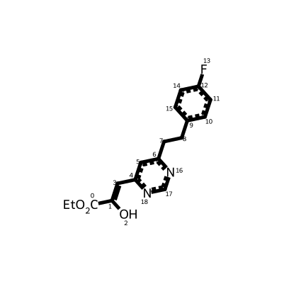 CCOC(=O)/C(O)=C/c1cc(CCc2ccc(F)cc2)ncn1